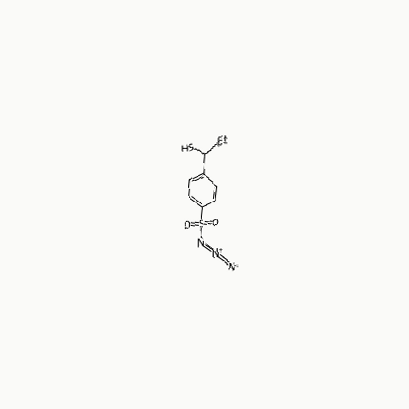 CCC(S)c1ccc(S(=O)(=O)N=[N+]=[N-])cc1